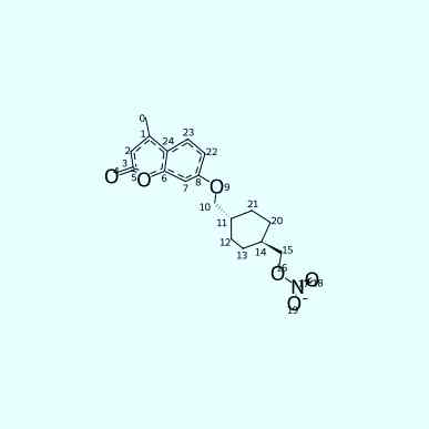 Cc1cc(=O)oc2cc(OC[C@H]3CC[C@H](CO[N+](=O)[O-])CC3)ccc12